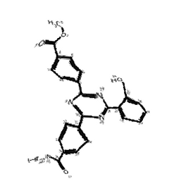 COC(=O)c1ccc(-c2nc(-c3ccc(C(N)=O)cc3)nc(-c3ccccc3O)n2)cc1